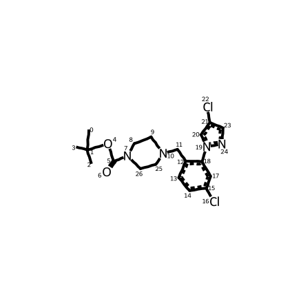 CC(C)(C)OC(=O)N1CCN(Cc2ccc(Cl)cc2-n2cc(Cl)cn2)CC1